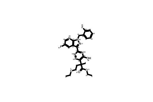 CCOCCC(C)(C(=O)OCC)c1nnc(-c2nn(Cc3ccccc3F)c3ncc(F)cc23)nc1O